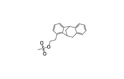 CS(=O)(=O)OCCc1cccc2c1C1Cc3ccccc3C2C1